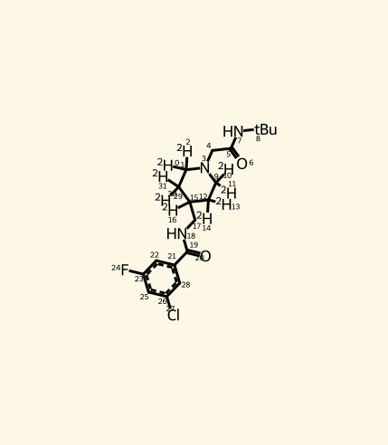 [2H]C1([2H])N(CC(=O)NC(C)(C)C)C([2H])([2H])C([2H])([2H])C([2H])(CNC(=O)c2cc(F)cc(Cl)c2)C1([2H])[2H]